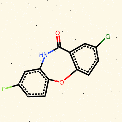 O=C1Nc2cc(F)ccc2Oc2ccc(Cl)cc21